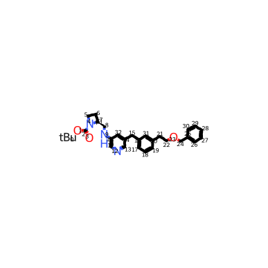 CC(C)(C)OC(=O)N1CC[C@H]1CNc1cncc(Cc2cccc(CCOCc3ccccc3)c2)c1